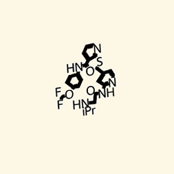 CC(C)NCC(=O)Nc1cc(CSc2ncccc2C(=O)Nc2ccc(OC(F)F)cc2)ccn1